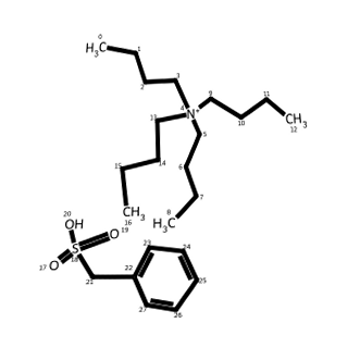 CCCC[N+](CCCC)(CCCC)CCCC.O=S(=O)(O)Cc1ccccc1